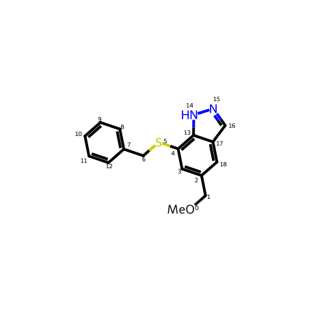 COCc1cc(SCc2ccccc2)c2[nH]ncc2c1